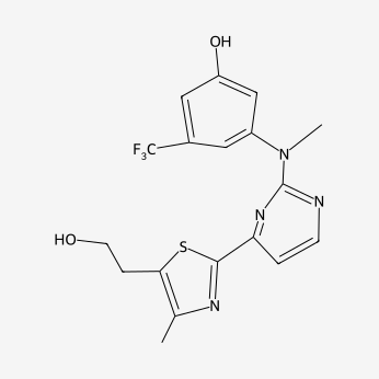 Cc1nc(-c2ccnc(N(C)c3cc(O)cc(C(F)(F)F)c3)n2)sc1CCO